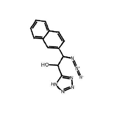 [N-]=[N+]=NC(c1ccc2ccccc2c1)C(O)c1nnn[nH]1